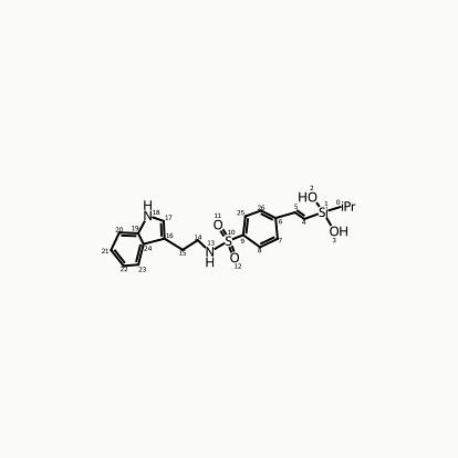 CC(C)[Si](O)(O)C=Cc1ccc(S(=O)(=O)NCCc2c[nH]c3ccccc23)cc1